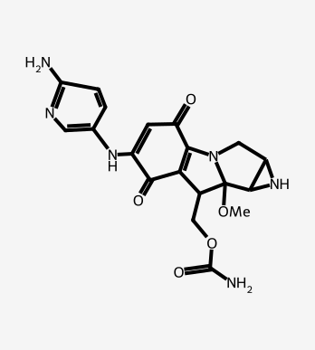 COC12C(COC(N)=O)C3=C(C(=O)C=C(Nc4ccc(N)nc4)C3=O)N1CC1NC12